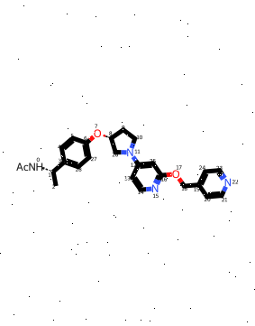 CC(=O)N[C@@H](C)c1ccc(O[C@@H]2CCN(c3ccnc(OCc4ccncc4)c3)C2)cc1